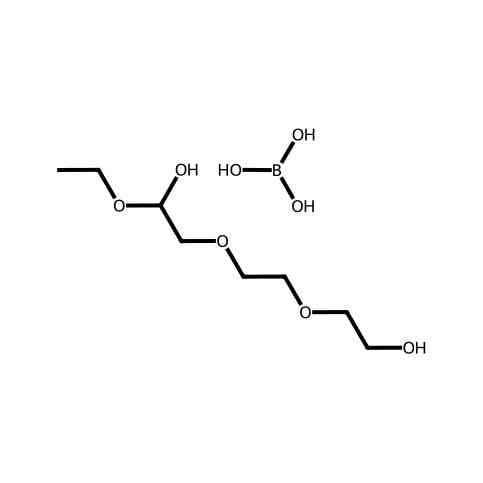 CCOC(O)COCCOCCO.OB(O)O